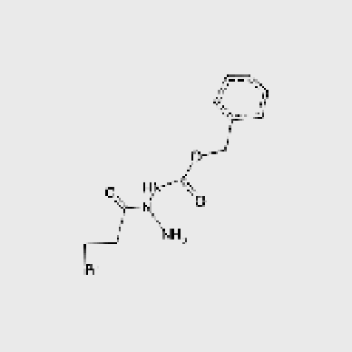 CC(C)CCC(=O)N(N)NC(=O)OCc1ccccc1